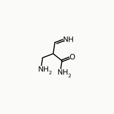 N=CC(CN)C(N)=O